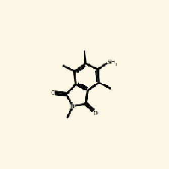 Cc1c(C)c2c(c(C)c1[SiH3])C(=O)N(C)C2=O